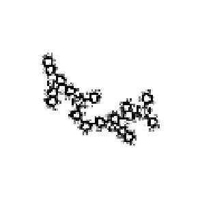 c1ccc(-c2nc(-c3ccc(-c4ccc(-c5ccc6ccccc6c5)c5oc6cc7ccccc7cc6c45)cc3)nc(-c3cccc(-c4cccc(-c5ccc(-c6ccc(-c7ccc(-c8nc(-c9ccccc9)nc(-c9ccccc9)n8)c8ccccc78)c7c6oc6cc8ccccc8cc67)cc5)c4)c3)n2)cc1